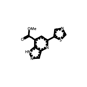 COC(=O)c1cc(-c2cncs2)nc2cn[nH]c12